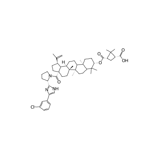 C=C(C)[C@@H]1CC[C@]2(C(=O)N3CCC[C@H]3c3nc(-c4cccc(Cl)c4)c[nH]3)CC[C@]3(C)[C@H](CCC4[C@@]5(C)CC[C@H](OC(=O)[C@H]6C[C@@H](C(=O)O)C6(C)C)C(C)(C)C5CC[C@]43C)C12